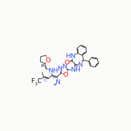 C=N/C(=C(\C=C(/C)C(F)(F)F)NC[C@H]1CCCO1)c1nnc(N[C@H]2N=C(c3ccccc3)c3ccccc3NC2=O)o1